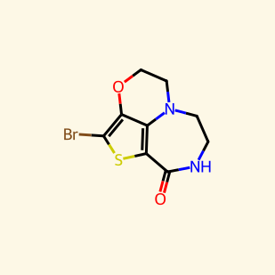 O=C1NCCN2CCOc3c(Br)sc1c32